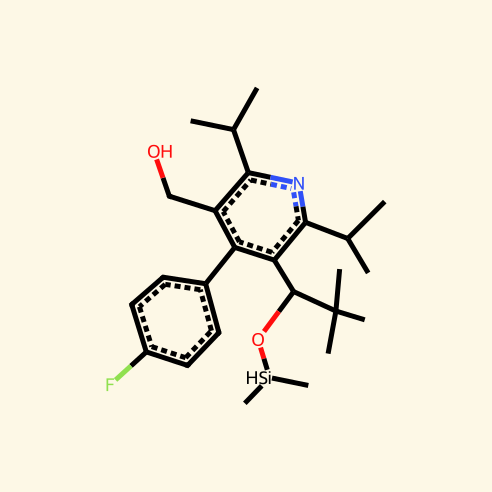 CC(C)c1nc(C(C)C)c(C(O[SiH](C)C)C(C)(C)C)c(-c2ccc(F)cc2)c1CO